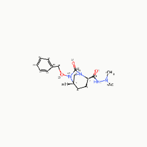 CC(=O)N(C)NC(=O)[C@H]1CC[C@H]2CN1C(=O)N2OCc1ccccc1